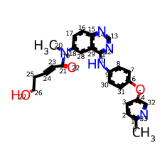 Cc1ccc(Oc2ccc(Nc3ncnc4ccc(N(C)C(=O)C#CCCO)cc34)cc2)cn1